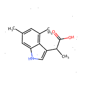 Cc1cc(C)c2c(C(C)C(=O)O)c[nH]c2c1